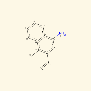 C=Cc1cc(N)c2ccccc2c1C